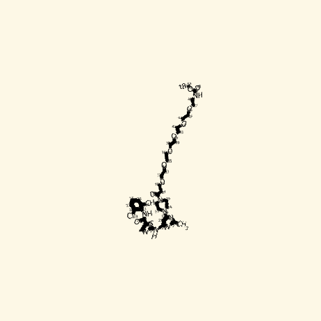 Cc1nc(Nc2ncc(C(=O)Nc3c(C)cccc3Cl)s2)cc(N2CCN(C(=O)CCOCCOCCOCCOCCOCCOCCNC(=O)OC(C)(C)C)CC2)n1